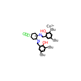 CC(C)(C)c1cc(C=N[C@@H]2CCCC[C@H]2N=Cc2cc(C(C)(C)C)cc(C(C)(C)C)c2O)c(O)c(C(C)(C)C)c1.[Cl-].[Cl-].[Cl-].[Co+3]